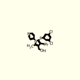 Cc1c(CO)c(C(C)C)c(Sc2cc(Cl)cc(Cl)c2)n1-c1ccncc1